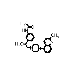 CC(=O)Nc1cccc(C(C)CN2CCN(c3cccc4nc(C)ccc34)CC2)c1